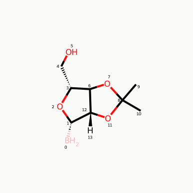 B[C@@H]1O[C@H](CO)C2OC(C)(C)O[C@@H]21